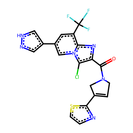 O=C(c1nc2c(C(F)(F)F)cc(-c3cn[nH]c3)cn2c1Cl)N1CC=C(c2nccs2)C1